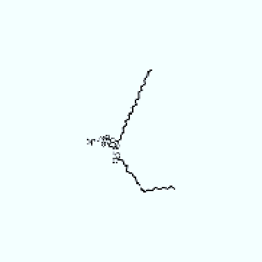 CCCCCCCC/C=C\CCCCCCCCCC(=O)OC[C@H](COP(=O)([O-])OCC[N+](C)(C)C)OC(=O)CCCCCCCCCCCCCCCCCCCCC